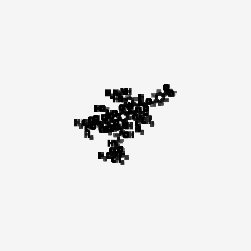 C[C@@H]([C@@H](O)[C@H](OCCO)O[C@@H]1[C@@H](O)[C@H](O[C@H]2OC(CNC(=O)OCc3ccc([N+](=O)[O-])cc3)=CC[C@H]2NC(=N)N)[C@@H](NC(=O)OC(C)(C)C)C[C@H]1NC(=O)[C@@H](O)CCNC(=O)OC(C)(C)C)N(C)C(=O)OC(C)(C)C